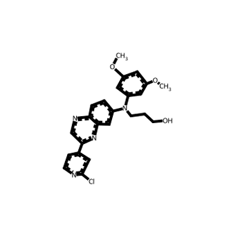 COc1cc(OC)cc(N(CCCO)c2ccc3ncc(-c4ccnc(Cl)c4)nc3c2)c1